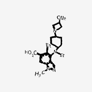 CCc1c(C(=O)O)cc2c(cnn2C)c1N(CC)C1CCC(N2CC(OC)C2)CC1